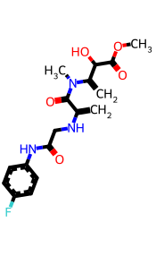 C=C(NCC(=O)Nc1ccc(F)cc1)C(=O)N(C)C(=C)C(O)C(=O)OC